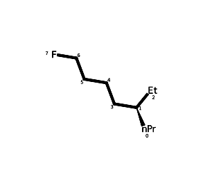 CCC[C@H](CC)CCCCF